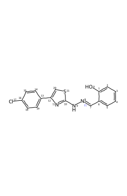 Oc1ccccc1/C=N/Nc1nc(-c2ccc(Cl)cc2)cs1